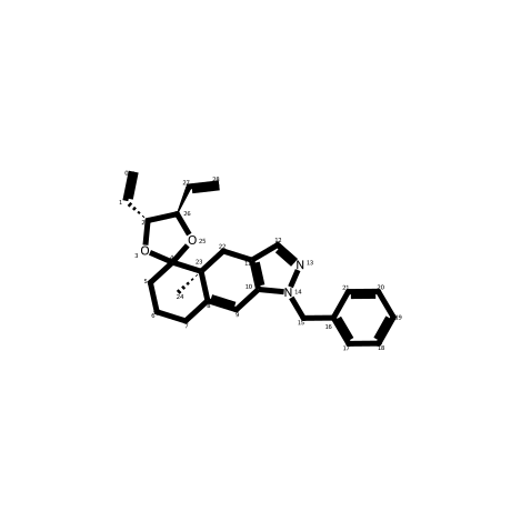 C=C[C@H]1OC2(CCCC3=Cc4c(cnn4Cc4ccccc4)C[C@@]32C)O[C@@H]1C=C